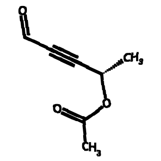 CC(=O)O[C@@H](C)C#CC=O